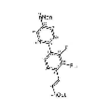 CCCCCCCCC=Cc1ccc(-c2ncc(CCCCCCCCC)cn2)c(F)c1F